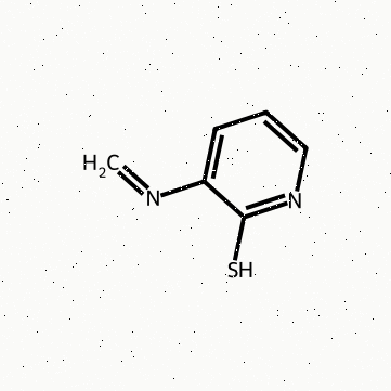 C=Nc1cccnc1S